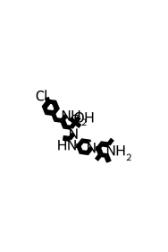 C=C/C(C)=C(\C=C(\C)N)N1CCC(NC(=C)/N=C(\C=C(/N)Cc2ccc(Cl)cc2)C(C)(C)O)CC1